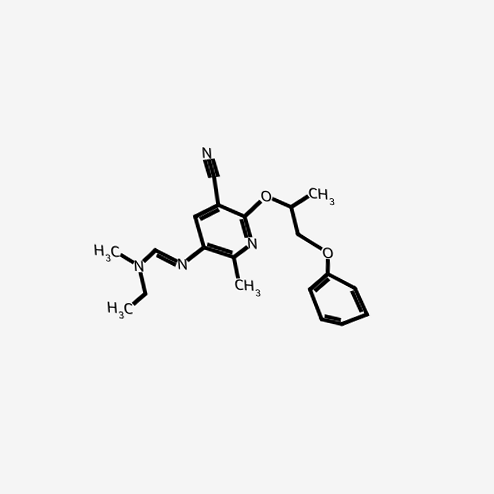 CCN(C)C=Nc1cc(C#N)c(OC(C)COc2ccccc2)nc1C